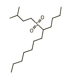 CCCCCCCC(CCCC)S(=O)(=O)CCC(C)C